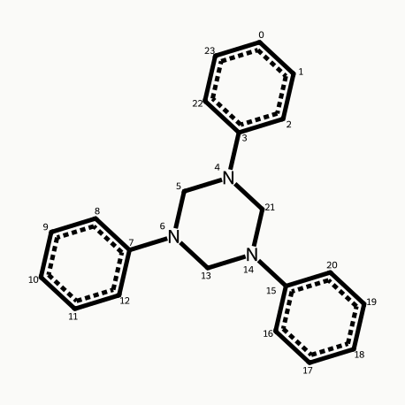 c1ccc(N2CN(c3ccccc3)CN(c3ccccc3)C2)cc1